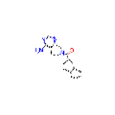 Nc1ncnc2c1CCN(C(=O)c1ccc3ccccc3c1)C2